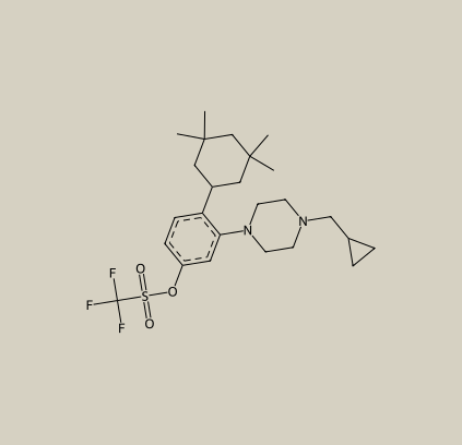 CC1(C)CC(c2ccc(OS(=O)(=O)C(F)(F)F)cc2N2CCN(CC3CC3)CC2)CC(C)(C)C1